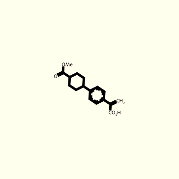 C=C(C(=O)O)c1ccc(C2CCC(C(=O)OC)CC2)cc1